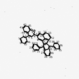 c1ccc(-c2cc(-c3cc4c5c(cccc5c3)-c3c-4c(-c4ccccc4)c4ccccc4c3-c3ccccc3)nc3ccccc23)cc1